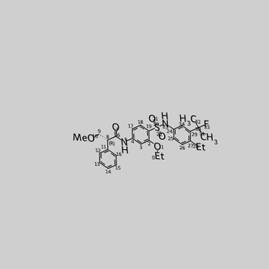 CCOc1cc(NC(=O)[C@@H](COC)c2ccccc2)ccc1S(=O)(=O)Nc1ccc(CC)c(C(C)(C)F)c1